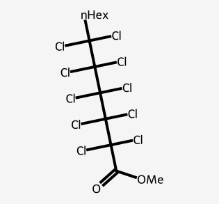 CCCCCCC(Cl)(Cl)C(Cl)(Cl)C(Cl)(Cl)C(Cl)(Cl)C(Cl)(Cl)C(=O)OC